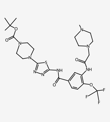 CN1CCN(CC(=O)Nc2cc(C(=O)Nc3nnc(N4CCN(C(=O)OC(C)(C)C)CC4)s3)ccc2OC(F)(F)F)CC1